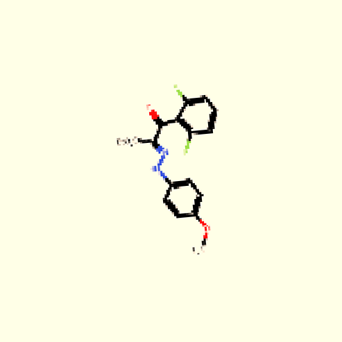 CCOC(=O)/C(=N\Nc1ccc(OC(F)(F)F)cc1)C(=O)c1c(F)cccc1F